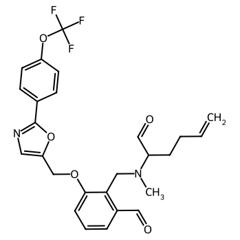 C=CCCC(C=O)N(C)Cc1c(C=O)cccc1OCc1cnc(-c2ccc(OC(F)(F)F)cc2)o1